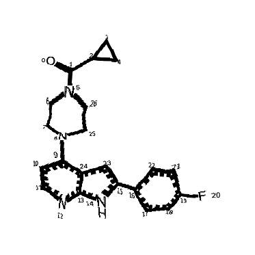 O=C(C1CC1)N1CCN(c2ccnc3[nH]c(-c4ccc(F)cc4)cc23)CC1